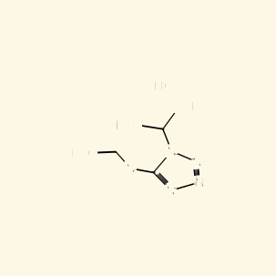 CCNc1nnnn1C(C)C.Cl